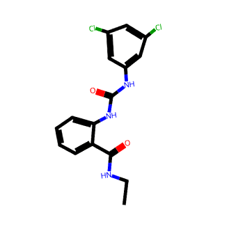 CCNC(=O)c1ccccc1NC(=O)Nc1cc(Cl)cc(Cl)c1